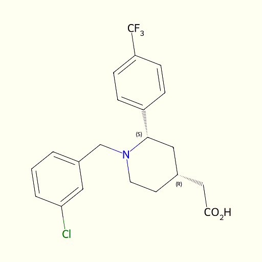 O=C(O)C[C@@H]1CCN(Cc2cccc(Cl)c2)[C@H](c2ccc(C(F)(F)F)cc2)C1